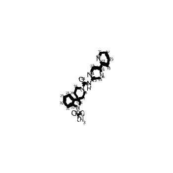 CS(=O)(=O)N1CC2(CCN(C(=O)Nc3cnc(-c4ccccn4)cn3)CC2)c2ccccc21